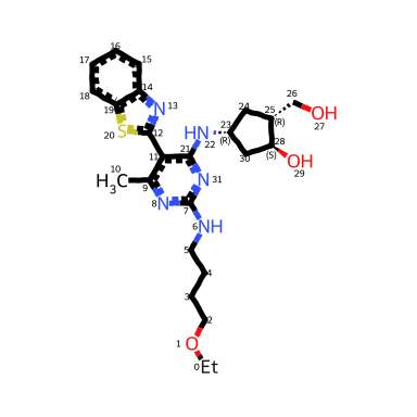 CCOCCCCNc1nc(C)c(-c2nc3ccccc3s2)c(N[C@@H]2C[C@H](CO)[C@@H](O)C2)n1